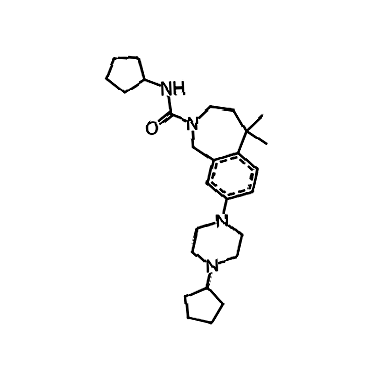 CC1(C)CCN(C(=O)NC2CCCC2)Cc2cc(N3CCN(C4CCCC4)CC3)ccc21